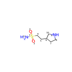 NS(=O)(=O)CCC1CCNC1